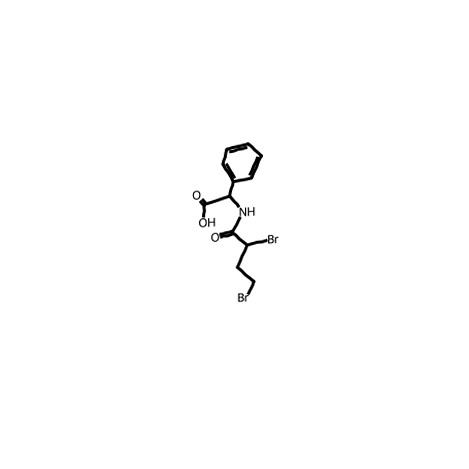 O=C(NC(C(=O)O)c1ccccc1)C(Br)CCBr